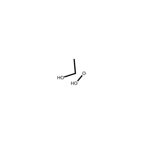 CCO.[O]O